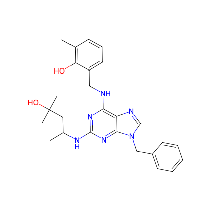 Cc1cccc(CNc2nc(NC(C)CC(C)(C)O)nc3c2ncn3Cc2ccccc2)c1O